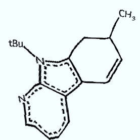 CC1C=Cc2c(n(C(C)(C)C)c3ncccc23)C1